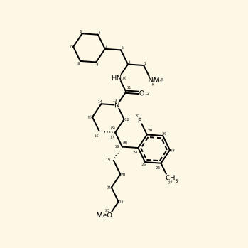 CNCC(CC1CCCCC1)NC(=O)N1CCC[C@@H]([C@@H](CCCCOC)c2cc(C)ccc2F)C1